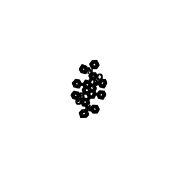 c1ccc(-c2cc3c4c(cc5c(-c6ccccc6)cc6c7c(cc2c4c57)B2c4ccccc4Oc4cc(N(c5ccccc5)c5ccccc5)cc-6c42)B2c4ccccc4Oc4cc(N(c5ccccc5)c5ccccc5)cc-3c42)cc1